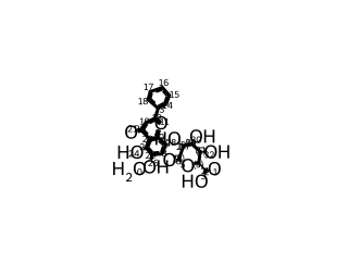 O.O=C(O)[C@H]1O[C@H](Oc2cc3oc(-c4ccccc4)cc(=O)c3c(O)c2O)[C@H](O)[C@@H](O)[C@@H]1O